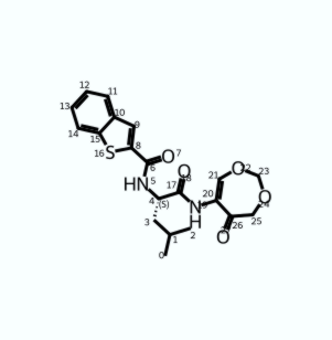 CC(C)C[C@H](NC(=O)c1cc2ccccc2s1)C(=O)NC1=COCOCC1=O